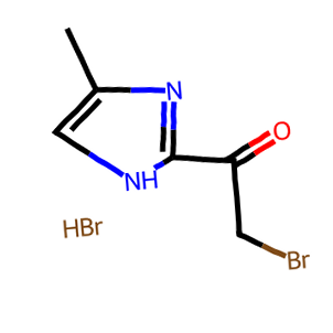 Br.Cc1c[nH]c(C(=O)CBr)n1